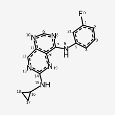 Fc1cccc(Nc2ncnc3cnc(NC4CC4)nc23)c1